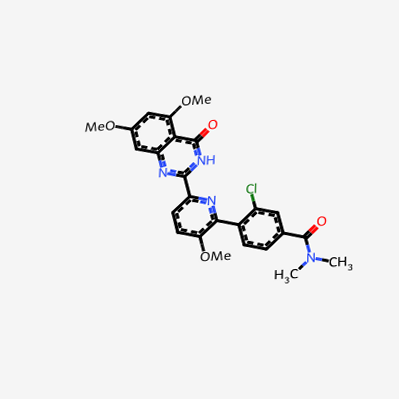 COc1cc(OC)c2c(=O)[nH]c(-c3ccc(OC)c(-c4ccc(C(=O)N(C)C)cc4Cl)n3)nc2c1